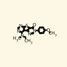 CCN(C)c1ncnc2sc3c(=O)n(-c4ccc(OC)cc4)cnc3c12